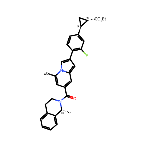 CCOC(=O)[C@H]1C[C@@H]1c1ccc(-c2cc3cc(C(=O)N4CCc5ccccc5[C@H]4C)cc(CC)n3c2)c(F)c1